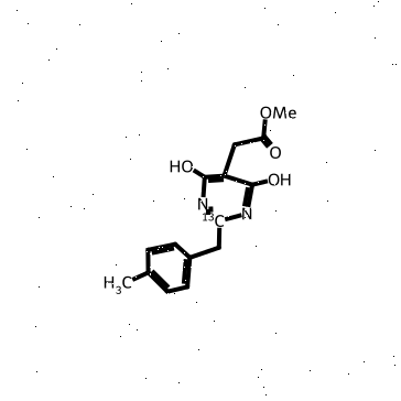 COC(=O)Cc1c(O)n[13c](Cc2ccc(C)cc2)nc1O